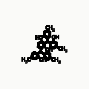 Cc1ccc(C(c2cccc(C(c3ccc(C)cc3O)c3ccc(C)cc3O)n2)c2ccc(C)cc2O)c(O)c1